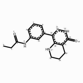 CCC(=O)Nc1cccc(-c2n[nH]c(=O)c3c2NCCC3)c1